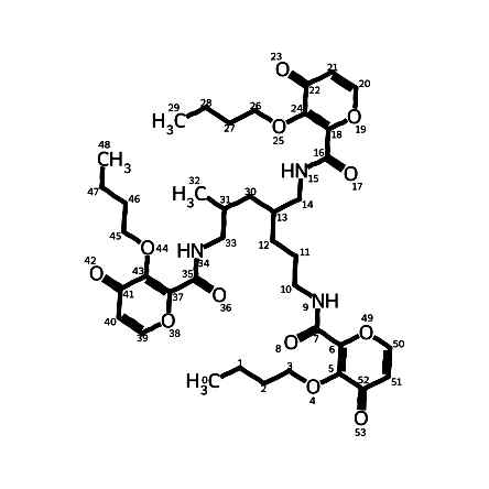 CCCCOc1c(C(=O)NCCCC(CNC(=O)c2occc(=O)c2OCCCC)CC(C)CNC(=O)c2occc(=O)c2OCCCC)occc1=O